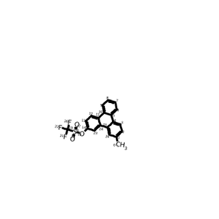 Cc1ccc2c3ccccc3c3ccc(OS(=O)(=O)C(F)(F)F)cc3c2c1